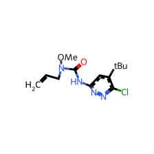 C=CCN(OC)C(=O)Nc1cc(C(C)(C)C)c(Cl)nn1